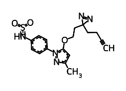 C#CCCC1(CCOc2cc(C)nn2-c2ccc(N[SH](=O)=O)cc2)N=N1